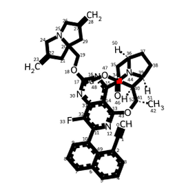 C#Cc1cccc2cccc(-c3nc4c5c(nc(OCC67CC(=C)CN6CC(=C)C7)nc5c3F)N3C[C@H]5CC[C@@H]([C@H]3[C@H](C)O4)N5C(=O)OC(C)(C)C)c12